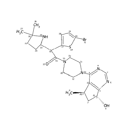 C[C@@H]1C[C@@H](O)c2ncnc(N3CCN(C(=O)C(c4ccc(Br)s4)C4CCC(C)(C)N4)CC3)c21